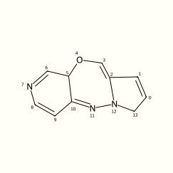 C1=CC2=COC3C=NC=CC3=NN2C1